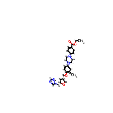 CCOC(=O)c1ccc(N2CCN(c3ccc(OC[C@@H]4CO[C@H](Cn5cncn5)C4)c(C)c3)CC2)cc1